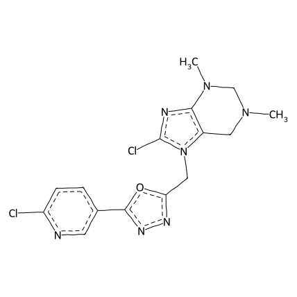 CN1Cc2c(nc(Cl)n2Cc2nnc(-c3ccc(Cl)nc3)o2)N(C)C1